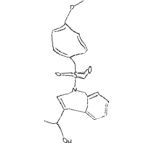 COc1ccc(S(=O)(=O)n2cc(C(C)O)c3ccccc32)cc1